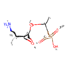 CC(OC(=O)[C@H](C)N)S(=O)(=O)O